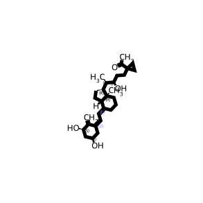 C=C1/C(=C\C=C2/CCC[C@]3(C)[C@@H]([C@H](C)[C@H](O)CCC4(C(C)=O)CC4)CC[C@@H]23)C[C@@H](O)C[C@@H]1O